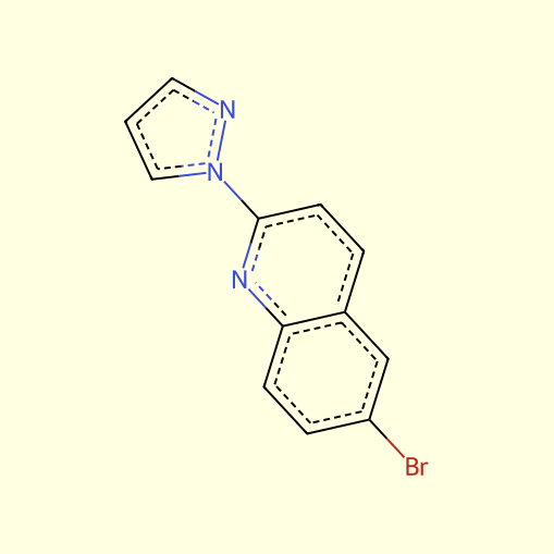 Brc1ccc2nc(-n3cccn3)ccc2c1